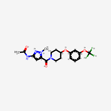 CC(=O)Nc1cc(C(=O)N2CCC(Oc3cccc(OC(F)(F)F)c3)CC2)n(C)n1